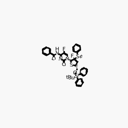 CC(C)(C)[Si](OC[C@H]1C[C@](F)([Se]c2ccccc2)[C@@H](n2cc(F)c(NC(=O)c3ccccc3)nc2=O)S1)(c1ccccc1)c1ccccc1